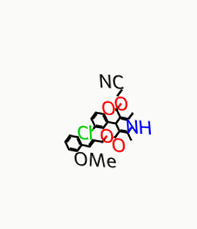 COc1ccccc1C=CCOC(=O)C1=C(C)NC(C)=C(C(=O)OCCC#N)C1c1cccc(Cl)c1